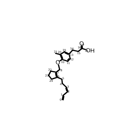 C=C/C=C\CCC1=C(COc2ccc(CCC(=O)O)cc2C)CCC1